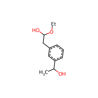 CCOC(O)Cc1cccc(C(C)O)c1